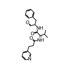 CC(C)[C@H](NC(=O)CCc1cccnc1)C(=O)NC(C=O)Cc1ccccc1